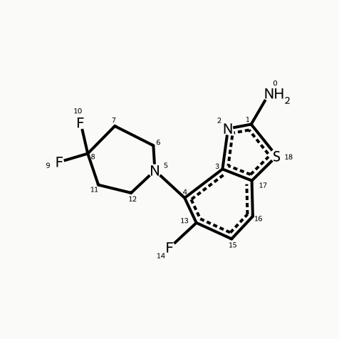 Nc1nc2c(N3CCC(F)(F)CC3)c(F)ccc2s1